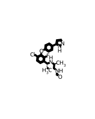 CC[C@@H](N[C@@H](C)CNC=O)c1ccc(Cl)c(Oc2ccc(-c3ccn[nH]3)cc2)c1F